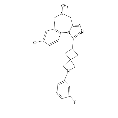 CN1Cc2cc(Cl)ccc2-n2c(nnc2C2CC3(C2)CN(c2cncc(F)c2)C3)C1